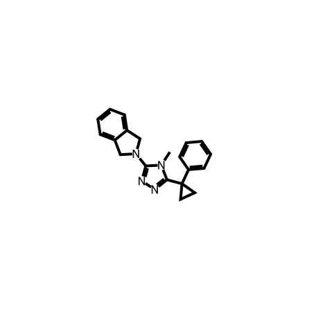 Cn1c(N2Cc3ccccc3C2)nnc1C1(c2ccccc2)CC1